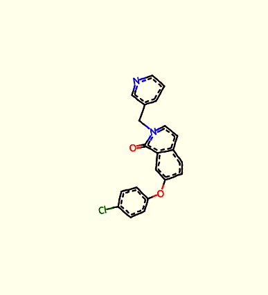 O=c1c2cc(Oc3ccc(Cl)cc3)ccc2ccn1Cc1cccnc1